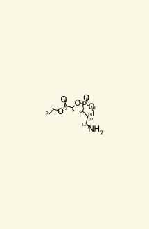 CCOC(=O)COP(=O)(CCCN)OI